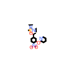 C=P(OC(C)c1ccc([N+](=O)[O-])c(Oc2ccccn2)c1)(N1CC1)N1CC1